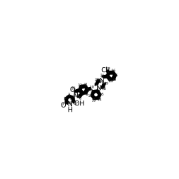 O=C1CCC(N2Cc3cc(C[C@H]4CCCC[C@@H]4N4CCN(Cc5ccccc5Cl)CC4)ccc3C2=O)C(O)N1